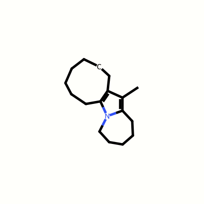 Cc1c2c(n3c1CCCCC3)CCCCCCC2